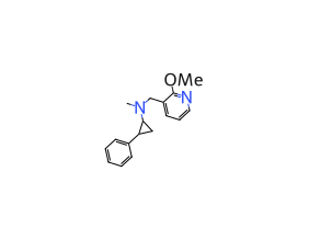 COc1ncccc1CN(C)C1CC1c1ccccc1